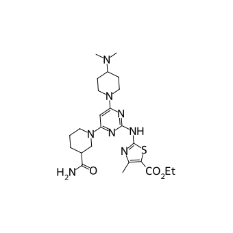 CCOC(=O)c1sc(Nc2nc(N3CCC(N(C)C)CC3)cc(N3CCCC(C(N)=O)C3)n2)nc1C